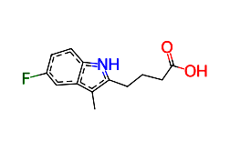 Cc1c(CCCC(=O)O)[nH]c2ccc(F)cc12